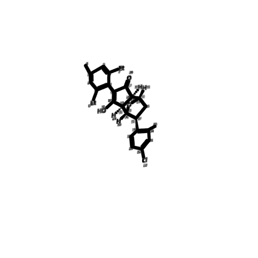 CCc1cc(C)cc(CC)c1C1=C(O)[C@@H]2[C@@H]3O[C@@H](C[C@H]3c3ccc(Cl)cc3C)[C@@H]2C1=O